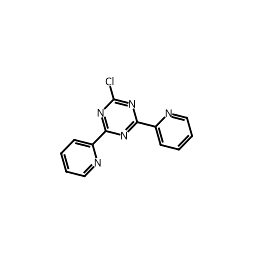 Clc1nc(-c2ccccn2)nc(-c2ccccn2)n1